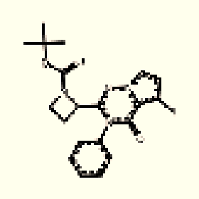 CC(C)(C)OC(=O)N1CCC1c1nn2ccc(I)c2c(=O)n1-c1ccccc1